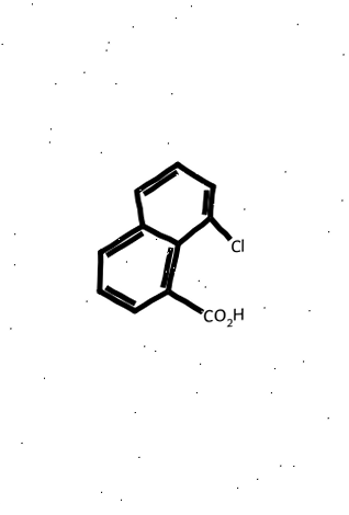 O=C(O)c1cccc2cccc(Cl)c12